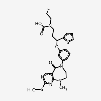 CSc1ncc2c(n1)N(C)CCN(c1cccc(OC(CCN(CCF)C(=O)O)c3cccs3)c1)C2=O